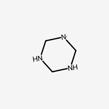 C1[N]CNCN1